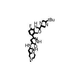 Cc1c(-c2cc(NC3C=C4CN(C)CCN4N3)c(=O)[nH]n2)ccc(F)c1NC(=O)c1cnc(C(C)(C)C)cn1